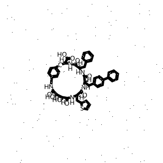 O=C1N[C@H](Cc2ccccc2)C(=O)N[C@@H](C(=O)O)Cc2ccc(cc2)NC(=O)[C@H](O)[C@@H](O)C(=O)N[C@H](CC2CC=CS2)C(=O)N[C@H]1Cc1ccc(-c2ccccc2)cc1